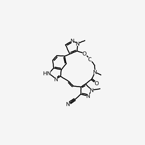 CN1CCOc2c(cnn2C)-c2ccc3[nH]nc(c3c2)/C=C/c2c(C#N)nn(C)c2C1=O